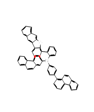 c1ccc(N(c2ccc(-c3cccc4c3ccc3ccccc34)cc2)c2ccc3c(ccc4ccccc43)c2)c(-c2cccc3c2oc2cc4ccccc4cc23)c1